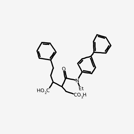 CCN(C(=O)C(CC(=O)O)C(CCc1ccccc1)C(=O)O)c1ccc(-c2ccccc2)cc1